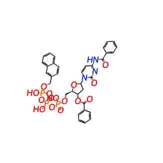 O=C(Nc1ccn([C@H]2C[C@@H](OC(=O)c3ccccc3)[C@@H](COP(=O)(O)OP(=O)(O)OP(=O)(O)OCc3ccc4ccccc4c3)O2)c(=O)n1)c1ccccc1